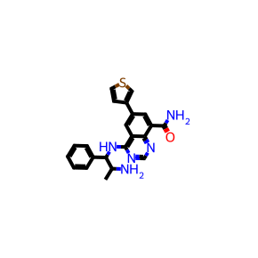 CC(N)C(Nc1ncnc2c(C(N)=O)cc(-c3ccsc3)cc12)c1ccccc1